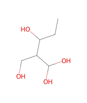 CCC(O)C(CO)C(O)O